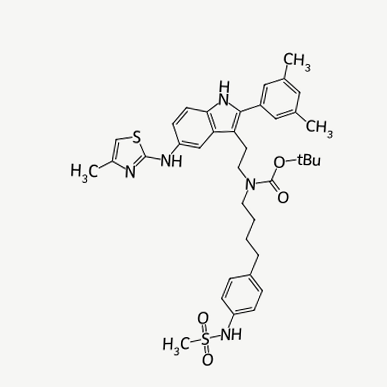 Cc1cc(C)cc(-c2[nH]c3ccc(Nc4nc(C)cs4)cc3c2CCN(CCCCc2ccc(NS(C)(=O)=O)cc2)C(=O)OC(C)(C)C)c1